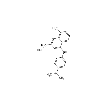 Cc1cc(Nc2ccc(N(C)C)cc2)c2cccc(C)c2n1.Cl